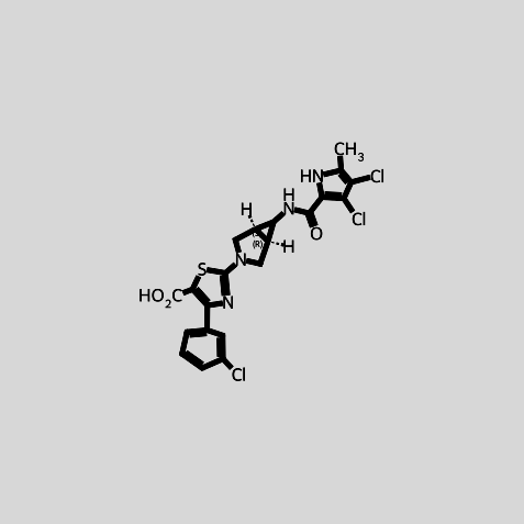 Cc1[nH]c(C(=O)NC2[C@H]3CN(c4nc(-c5cccc(Cl)c5)c(C(=O)O)s4)C[C@@H]23)c(Cl)c1Cl